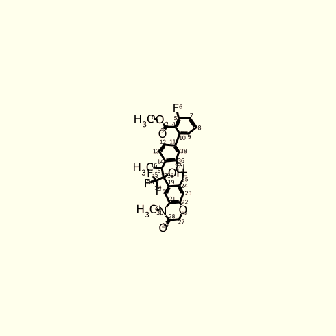 COC(=O)c1c(F)cccc1-c1ccc(C(C)C(O)(c2cc3c(cc2F)OCC(=O)N3C)C(F)(F)F)c(Cl)c1